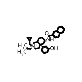 CC(C)C[N@+]1(CC2CC2)CC[C@]2(c3cccc(O)c3)C[C@H](NC(=O)c3ccc4ccccc4c3)CCC2C1